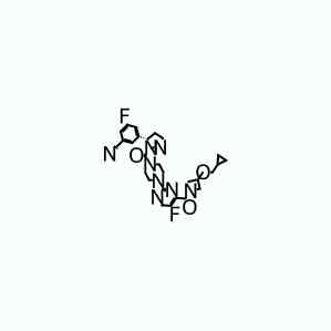 N#Cc1cc(F)cc([C@@H]2CC=NN2C(=O)N2CCN(c3ncc(F)c(C(=O)N4CC(OCC5CC5)C4)n3)CC2)c1